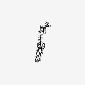 O=c1cc(CN2CCOCC2)occ1OCCCCCSc1ccc(C2CC2)nc1